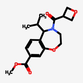 COC(=O)c1ccc2c(c1)OCCN(C(=O)C1COC1)C2C(C)C